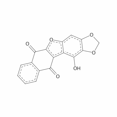 O=C1c2ccccc2C(=O)c2c1oc1cc3c(c(O)c21)OCO3